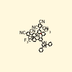 N#Cc1cc(C#N)c(-c2ccc3c(c2)c2cc(-c4c(C#N)cc(C#N)cc4C#N)ccc2n3-c2c(-c3ccc(C(F)(F)F)cc3)cc(-c3cc(-c4ccccc4)nc(-c4ccccc4)n3)cc2-c2ccc(C(F)(F)F)cc2)c(C#N)c1